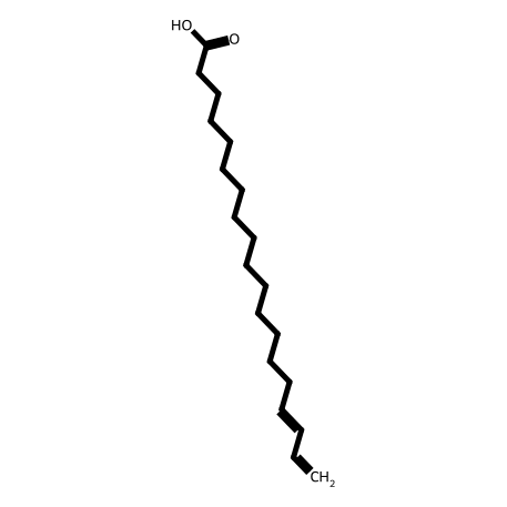 C=CC=CCCCCCCCCCCCCCCC(=O)O